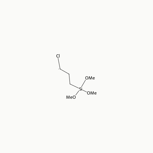 CO[Si](CC[CH]Cl)(OC)OC